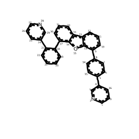 c1cncc(-c2ccc(-c3cccc4c3oc3c(-c5ccccc5-c5cccnc5)cccc34)cc2)c1